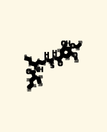 C=C/C=C(\C=C\NC(=S)NC(=O)c1cc(O)c(OCC)c(OC)c1)NC(=O)/C(C=C)=C/C=C